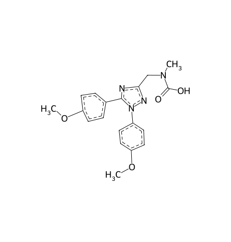 COc1ccc(-c2nc(CN(C)C(=O)O)nn2-c2ccc(OC)cc2)cc1